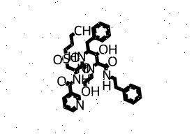 CCCCS(=O)(=O)CC(NC(=O)c1cccnc1)C(=O)NC(Cc1ccccc1)C(O)C(NCCO)C(=O)NCCc1ccccc1